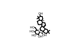 CC1(C)CC[C@]2(C(O)[C@@H]3OC(CO)[C@@H](O)C(O)C3O)CC[C@]3(C)C(=CCC4[C@@]5(C)CCC(O)C(C)(C)C5CC[C@]43C)C2C1